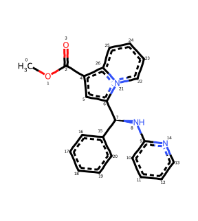 COC(=O)c1cc([C@@H](Nc2ccccn2)c2ccccc2)n2ccccc12